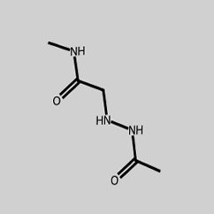 CNC(=O)CNNC(C)=O